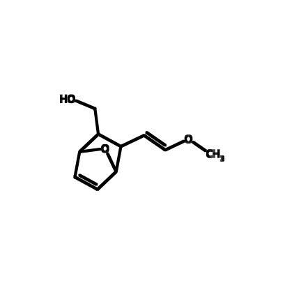 COC=CC1C2C=CC(O2)C1CO